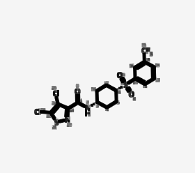 O=C(N[C@H]1CC[C@@H](S(=O)(=O)c2cccc(C(F)(F)F)c2)CC1)c1nsc(Cl)c1Cl